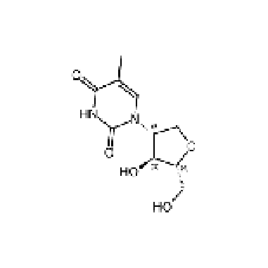 Cc1cn([C@@H]2CO[C@H](CO)[C@H]2O)c(=O)[nH]c1=O